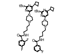 CC(C)(C)c1nc(C2CCC2)cc(N2CCN(CCCCNC(=O)c3ccc(F)cc3F)CC2)n1.CC(C)(C)c1nc(C2CCC2)cc(N2CCN(CCCCNC(=O)c3cccc(F)c3)CC2)n1